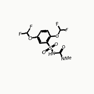 CNC(=O)NS(=O)(=O)c1cc(OC(F)F)ccc1OC(F)F